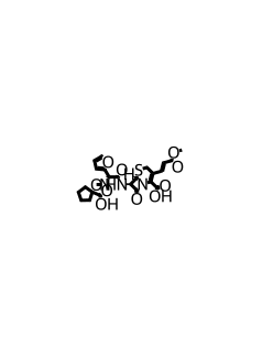 COC(=O)/C=C/C1=C(C(=O)O)N2C(=O)[C@@H](NC(=O)C(=NOC3(C(=O)O)CCCC3)c3ccco3)[C@H]2SC1